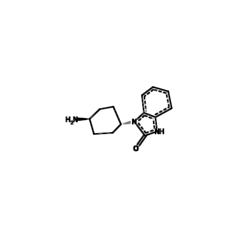 N[C@H]1CC[C@H](n2c(=O)[nH]c3ccccc32)CC1